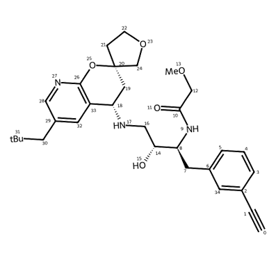 C#Cc1cccc(C[C@H](NC(=O)COC)[C@H](O)CN[C@H]2C[C@@]3(CCOC3)Oc3ncc(CC(C)(C)C)cc32)c1